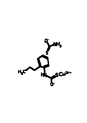 CCCc1ccccc1NC([O-])=S.NC([O-])=S.[Cu+2]